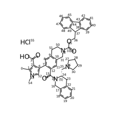 Cc1c(C(=O)O)c(-c2cc3c(cc2C(=O)N2Cc4ccccc4C[C@H]2CN2CCCC2)CN(C(=O)OCC2c4ccccc4-c4ccccc42)CC3)cn1C.Cl